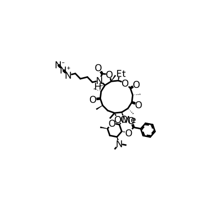 CC[C@H]1OC(=O)[C@H](C)C(=O)[C@H](C)[C@@H](O[C@@H]2O[C@H](C)C[C@H](N(C)C)[C@H]2OC(=O)c2ccccc2)[C@@](C)(OC)C[C@@H](C)C(=O)[C@H](C)[C@H]2N(CCCCN=[N+]=[N-])C(=O)O[C@]12C